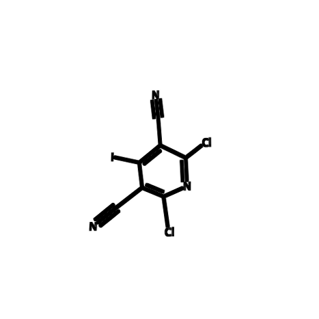 N#Cc1c(Cl)nc(Cl)c(C#N)c1I